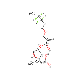 C=C(COCCC(F)(F)C(F)(F)S(=O)(=O)O)C(=O)OC1C2OC3C1OC(=O)C3C2OC(C)=O